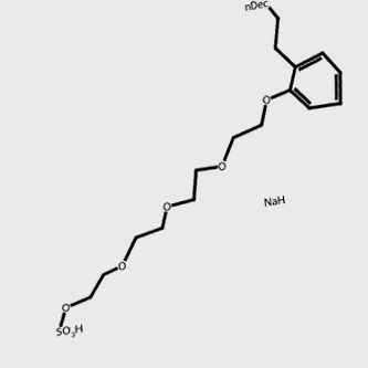 CCCCCCCCCCCCc1ccccc1OCCOCCOCCOCCOS(=O)(=O)O.[NaH]